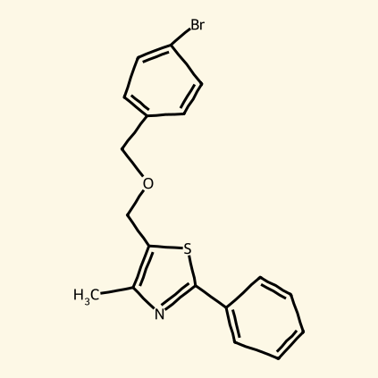 Cc1nc(-c2ccccc2)sc1COCc1ccc(Br)cc1